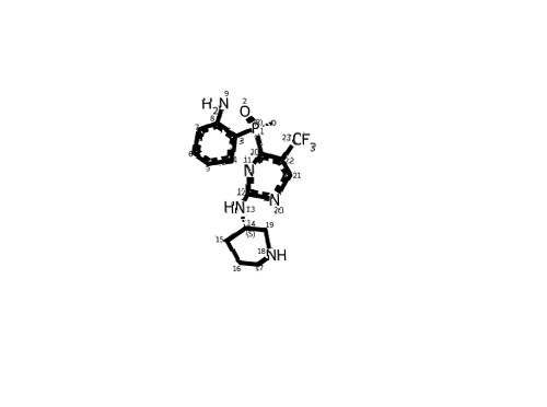 C[P@@](=O)(c1ccccc1N)c1nc(N[C@H]2CCCNC2)ncc1C(F)(F)F